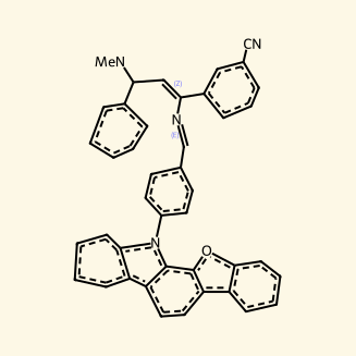 CNC(/C=C(\N=C\c1ccc(-n2c3ccccc3c3ccc4c5ccccc5oc4c32)cc1)c1cccc(C#N)c1)c1ccccc1